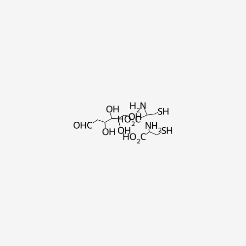 NC(CS)C(=O)O.NC(CS)C(=O)O.O=CCC(O)C(O)C(O)CO